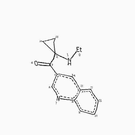 CCNC1(C(=O)c2cnc3ccccc3c2)CC1